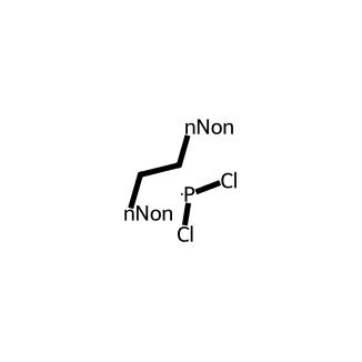 CCCCCCCCCCCCCCCCCCCC.Cl[P]Cl